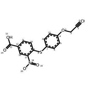 C#CCOc1ccc(Sc2ccc(C(=O)O)cc2[N+](=O)[O-])cc1